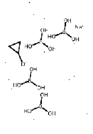 OB(O)O.OB(O)O.OB(O)O.OB(O)O.[Na+].[O-]C1CC1